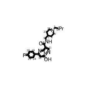 CC(C)CN1CCC(CNC(=O)c2cnn3c(O)cc(-c4ccc(F)cc4)nc23)CC1